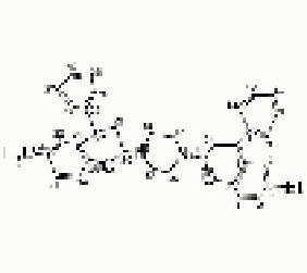 CCc1ccc2c(c1)C(c1ccccc1)CC(N1CCN(C3CC(c4ccccc4)c4cc(C)ccc4O3)CC1)O2